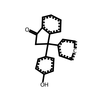 O=C1CC(c2ccccc2)(c2ccc(O)cc2)c2ccccc21